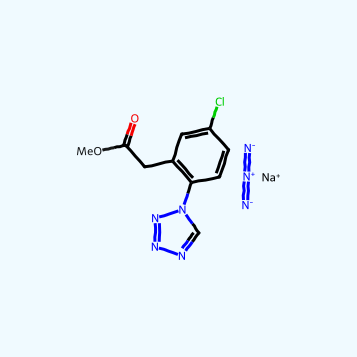 COC(=O)Cc1cc(Cl)ccc1-n1cnnn1.[N-]=[N+]=[N-].[Na+]